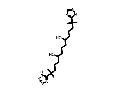 CC(C)(CCCC(O)CCCC(O)CCCC(C)(C)c1nnn[nH]1)c1ncn[nH]1